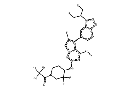 [2H]C([2H])([2H])C(=O)N1CC[C@@H](Nc2nc(OC)c3c(-c4ccc5nnn(C(CF)CF)c5c4)c(F)cn3n2)C(F)(F)C1